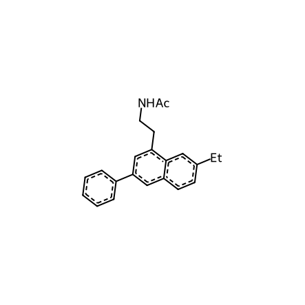 CCc1ccc2cc(-c3ccccc3)cc(CCNC(C)=O)c2c1